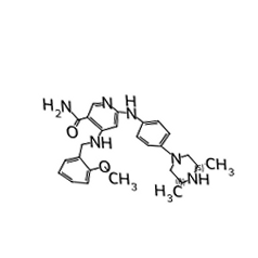 COc1ccccc1CNc1cc(Nc2ccc(N3C[C@@H](C)N[C@@H](C)C3)cc2)ncc1C(N)=O